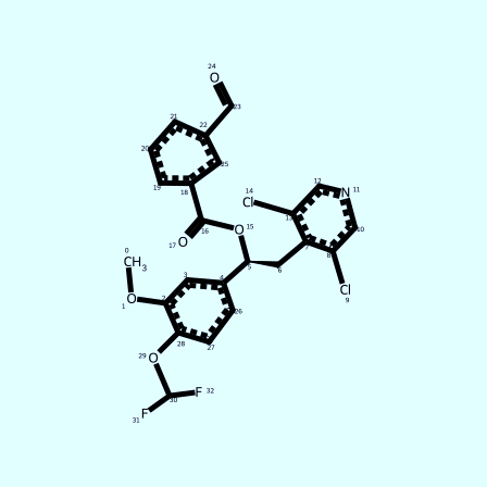 COc1cc([C@H](Cc2c(Cl)cncc2Cl)OC(=O)c2cccc(C=O)c2)ccc1OC(F)F